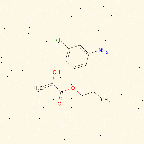 C=C(O)C(=O)OCCC.Nc1cccc(Cl)c1